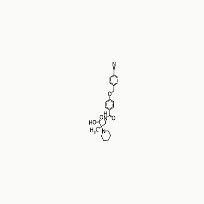 C[C@](CNC(=O)c1ccc(OCc2ccc(C#N)cc2)cc1)(C(=O)O)N1CCCCC1